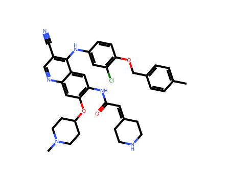 Cc1ccc(COc2ccc(Nc3c(C#N)cnc4cc(OC5CCN(C)CC5)c(NC(=O)C=C5CCNCC5)cc34)cc2Cl)cc1